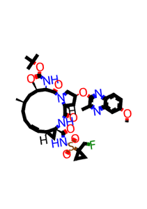 COc1ccc2nc(O[C@@H]3C[C@H]4C(=O)N[C@]5(C(=O)NS(=O)(=O)C6(CF)CC6)C[C@H]5/C=C\CC[C@@H](C)C[C@@H](C)[C@H](NC(=O)OC(C)(C)C)C(=O)N4C3)c(C)nc2c1